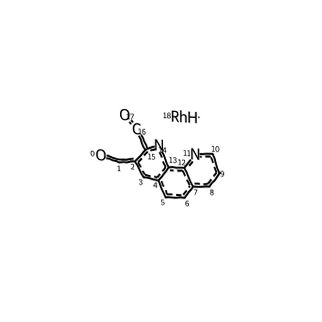 O=C=c1cc2ccc3cccnc3c2nc1=C=O.[RhH]